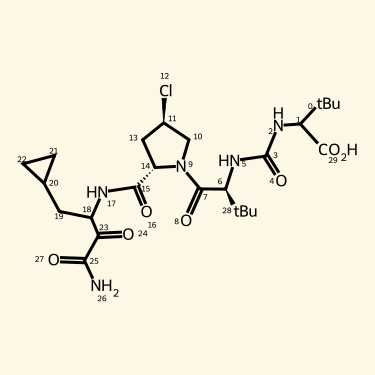 CC(C)(C)C(NC(=O)N[C@H](C(=O)N1C[C@H](Cl)C[C@H]1C(=O)NC(CC1CC1)C(=O)C(N)=O)C(C)(C)C)C(=O)O